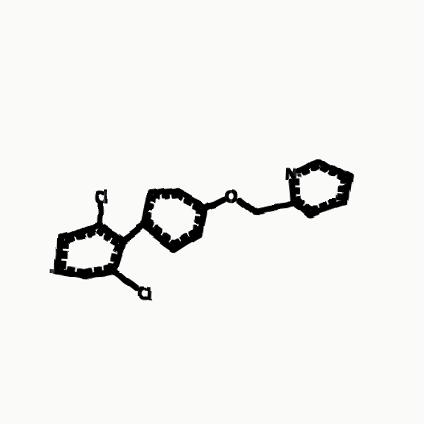 Clc1c[c]cc(Cl)c1-c1ccc(OCc2ccccn2)cc1